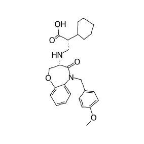 COc1ccc(CN2C(=O)[C@@H](NC[C@H](C(=O)O)C3CCCCC3)COc3ccccc32)cc1